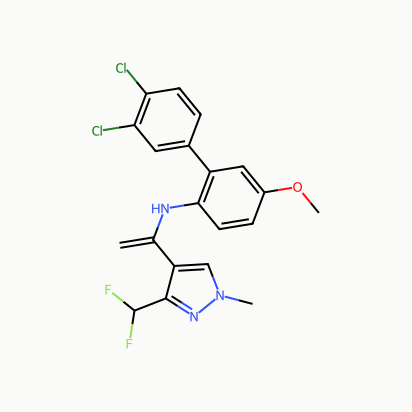 C=C(Nc1ccc(OC)cc1-c1ccc(Cl)c(Cl)c1)c1cn(C)nc1C(F)F